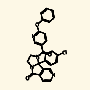 O=C(c1ccc(Oc2ccccc2)nc1)N1CCN2C(=O)c3ccncc3C12c1ccc(Cl)cc1